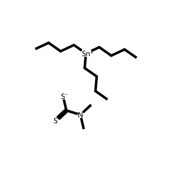 CCC[CH2][Sn+]([CH2]CCC)[CH2]CCC.CN(C)C(=S)[S-]